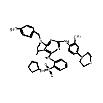 COc1ccc(CN2CC(C)c3c(Nc4ccccc4S(=O)(=O)NC4CCCC4)nc(Nc4ccc(N5CCOCC5)cc4OC)nc32)cc1